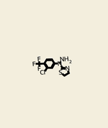 NN(C1=NCCS1)c1ccc(C(F)(F)F)c(Cl)c1